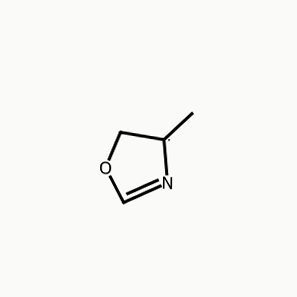 C[C]1COC=N1